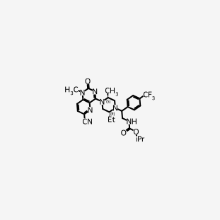 CC[C@@H]1CN(c2nc(=O)n(C)c3ccc(C#N)nc23)[C@@H](C)CN1C(CNC(=O)OC(C)C)c1ccc(C(F)(F)F)cc1